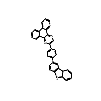 C1=CC2Sc3ccc(-c4ccc(-c5cnc6c7ccccc7c7ccccc7c6n5)cc4)cc3C2C=C1